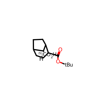 CC(C)(C)OC(=O)C1CCC2CCC1[C@H]2C(=O)O